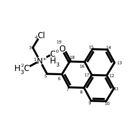 C[N+](C)(CCl)CC1=Cc2cccc3cccc(c23)C1=O